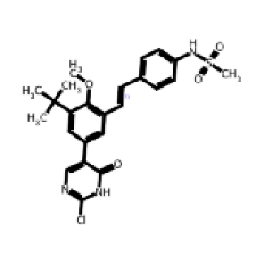 COc1c(/C=C/c2ccc(NS(C)(=O)=O)cc2)cc(-c2cnc(Cl)[nH]c2=O)cc1C(C)(C)C